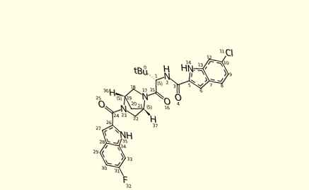 CC(C)(C)[C@H](NC(=O)c1cc2ccc(Cl)cc2[nH]1)C(=O)N1C[C@@H]2C[C@H]1CN2C(=O)c1cc2ccc(F)cc2[nH]1